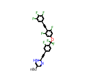 CCCCC1=CNC(C#Cc2ccc(C(F)(F)Oc3cc(F)c(C#Cc4cc(F)c(F)c(F)c4)c(F)c3)c(F)c2)N=C1